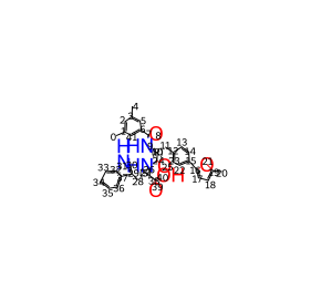 Cc1cc(C)cc(C(=O)N[C@H](Cc2ccc(-c3ccc(C)o3)cc2)C(=O)N[C@@H](Cc2c[nH]c3ccccc23)C(=O)O)c1